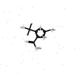 CCCCc1nc(C(C)(C)O)c(C(=O)OC)[nH]1